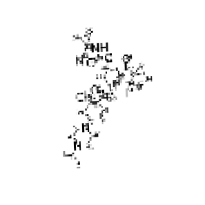 CC(C)N1CCN(c2ccc(S(=O)(=O)[C@@H]3C[C@H](OC(=O)NC4(C#N)CC4)N(C(=O)C4(C(F)(F)F)CC4)C3)c(Cl)c2)CC1